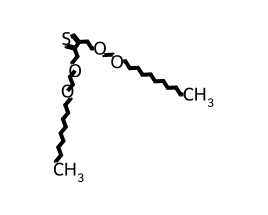 CCCCCCCCCCCOCCOCCc1cscc1CCOCCOCCCCCCCCCCC